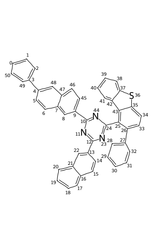 c1ccc(-c2ccc3cc(-c4nc(-c5ccc6ccccc6c5)nc(-c5c(-c6ccccc6)ccc6sc7ccccc7c56)n4)ccc3c2)cc1